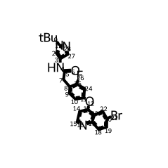 CC(C)(C)n1cc(NC(=O)Cc2ccc(Oc3ccnc4ccc(Br)cc34)cc2F)cn1